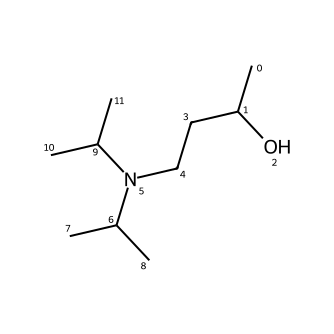 CC(O)CCN(C(C)C)C(C)C